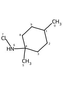 CC1CCC(C)(NCl)CC1